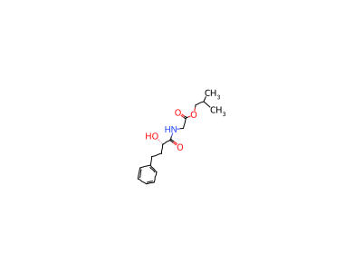 CC(C)COC(=O)CNC(=O)[C@@H](O)CCc1ccccc1